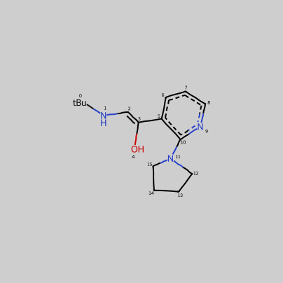 CC(C)(C)N/C=C(\O)c1cccnc1N1CCCC1